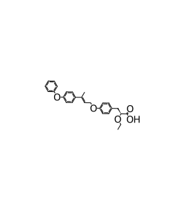 CCO[C@@H](Cc1ccc(OC/C=C(\C)c2ccc(Oc3ccccc3)cc2)cc1)C(=O)O